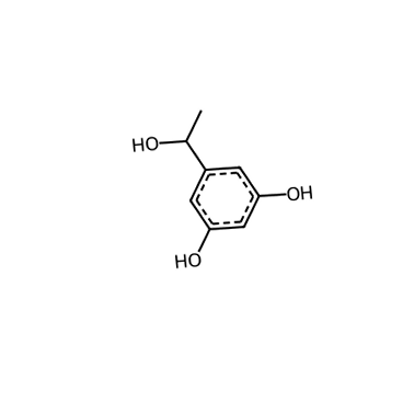 CC(O)c1cc(O)cc(O)c1